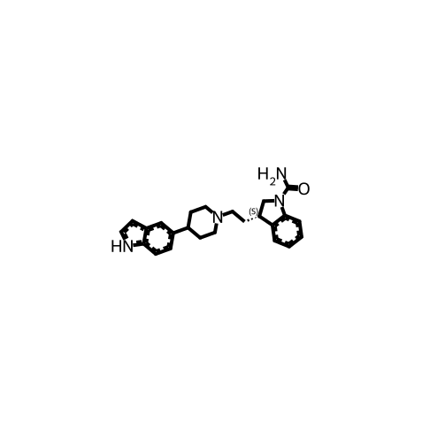 NC(=O)N1C[C@@H](CCN2CCC(c3ccc4[nH]ccc4c3)CC2)c2ccccc21